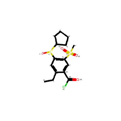 CCc1cc([S+]([O-])C2CCCC2)c(S(C)(=O)=O)cc1C(=O)Cl